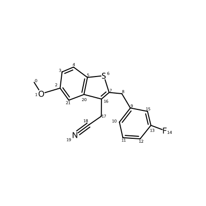 COc1ccc2sc(Cc3cccc(F)c3)c(CC#N)c2c1